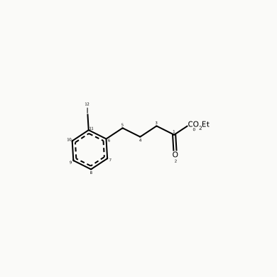 CCOC(=O)C(=O)CCCc1ccccc1I